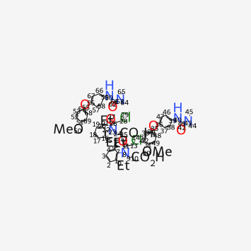 CCc1cccc(CC)c1N(CC(=O)O)C(=O)CCl.CCc1cccc(CC)c1N(CC(=O)O)C(=O)CCl.COc1ccc(Oc2ccc(NC(=O)N(C)C)cc2)cc1.COc1ccc(Oc2ccc(NC(=O)N(C)C)cc2)cc1